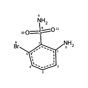 Nc1cccc(Br)c1S(N)(=O)=O